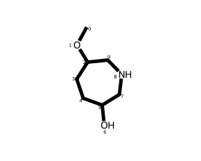 COC1CCC(O)CNC1